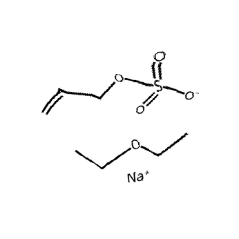 C=CCOS(=O)(=O)[O-].CCOCC.[Na+]